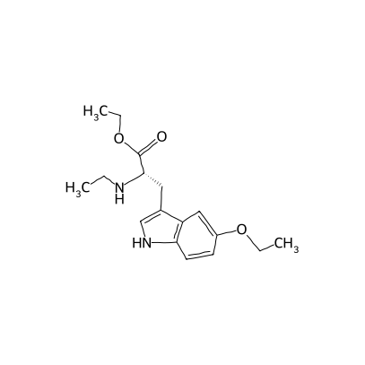 CCN[C@@H](Cc1c[nH]c2ccc(OCC)cc12)C(=O)OCC